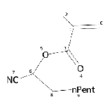 C=C(C)C(=O)OC(C#N)CCCCCC